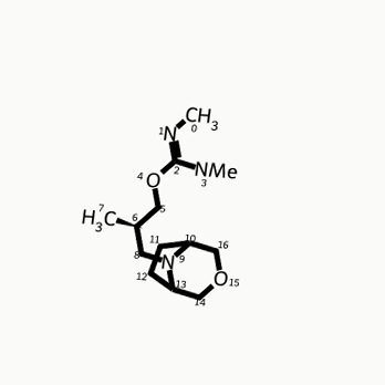 C/N=C(\NC)OC[C@H](C)CN1C2CCC1COC2